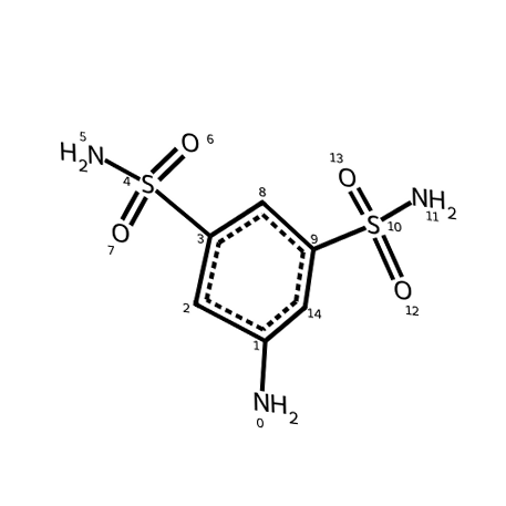 Nc1cc(S(N)(=O)=O)cc(S(N)(=O)=O)c1